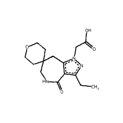 CCc1nn(CC(=O)O)c2c1C(=O)NCC1(CCOCC1)C2